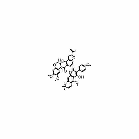 C=C(C)[C@H]1Cc2c(ccc3c2O[C@@H]2COc4cc(OC)c(OC)cc4[C@@H]2C3=O)O1.COc1ccc(-c2c(O)c3c(OC)c4c(cc3oc2=O)OC(C)(C)C=C4)cc1